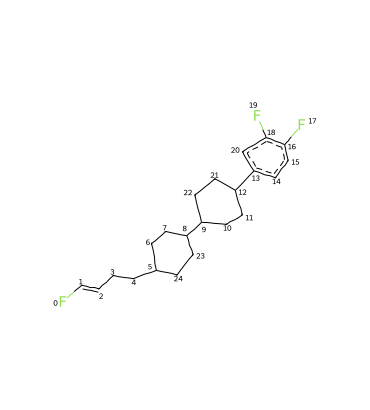 F/C=C/CCC1CCC(C2CCC(c3ccc(F)c(F)c3)CC2)CC1